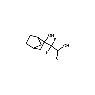 OC(C(F)(F)F)C(F)(F)C1(O)CC2CCC1C2